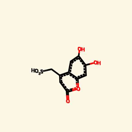 O=c1cc(CS(=O)(=O)O)c2cc(O)c(O)cc2o1